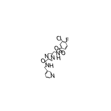 O=C(NCc1cccnc1)c1cnc(CNS(=O)(=O)c2ccc(F)c(Cl)c2)cn1